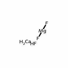 F.[CaH2].[F][Mg][F]